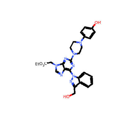 CCOC(=O)Cn1cnc2c(-n3nc(CO)c4ccccc43)nc(N3CCN(c4ccc(O)cc4)CC3)nc21